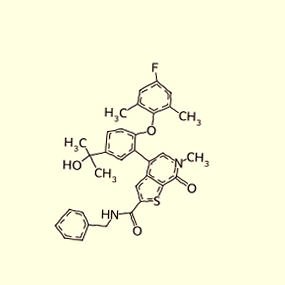 Cc1cc(F)cc(C)c1Oc1ccc(C(C)(C)O)cc1-c1cn(C)c(=O)c2sc(C(=O)NCc3ccccc3)cc12